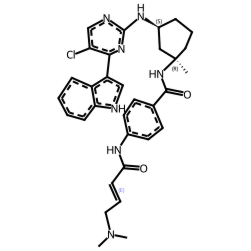 CN(C)C/C=C/C(=O)Nc1ccc(C(=O)N[C@]2(C)CCC[C@H](Nc3ncc(Cl)c(-c4c[nH]c5ccccc45)n3)C2)cc1